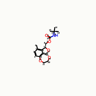 Cc1ccc2c3c1[C@@H](COC(=O)NC(C)(C)C)OB3OCCO2